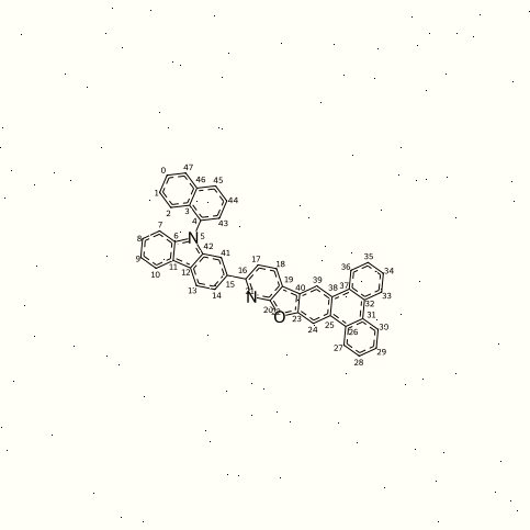 c1ccc2c(-n3c4ccccc4c4ccc(-c5ccc6c(n5)oc5cc7c8ccccc8c8ccccc8c7cc56)cc43)cccc2c1